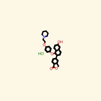 Cl.O=C1OCc2cc(-c3ccc4cc(O)ccc4c3Oc3ccc(OCCN4CCCCC4)cc3)ccc21